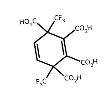 O=C(O)C1=C(C(=O)O)C(C(=O)O)(C(F)(F)F)C=CC1(C(=O)O)C(F)(F)F